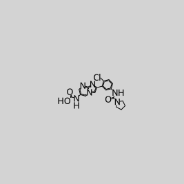 O=C(O)Nc1cnc2nc(-c3cc(NC(=O)N4CCCC4)ccc3Cl)cn2c1